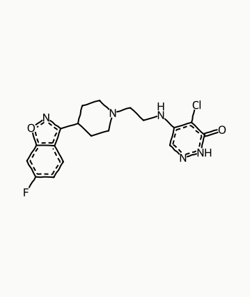 O=c1[nH]ncc(NCCN2CCC(c3noc4cc(F)ccc34)CC2)c1Cl